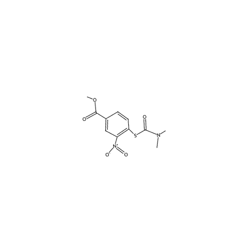 COC(=O)c1ccc(SC(=O)N(C)C)c([N+](=O)[O-])c1